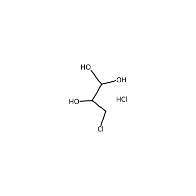 Cl.OC(O)C(O)CCl